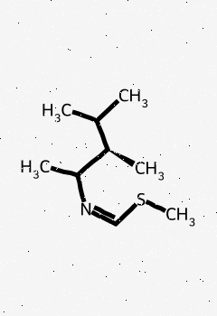 CS/C=N\C(C)[C@H](C)C(C)C